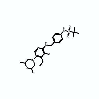 CCc1c(N2CC(C)OC(C)C2)ccc(NCc2ccc(NS(=O)(=O)C(C)(C)C)cc2)c1F